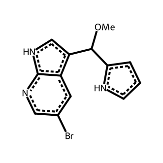 COC(c1ccc[nH]1)c1c[nH]c2ncc(Br)cc12